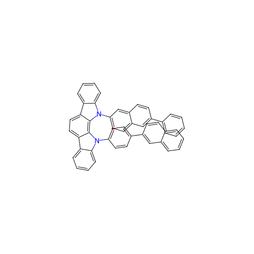 c1ccc(-c2ccc3cc(-n4c5ccccc5c5ccc6c7ccccc7n(-c7ccc(-c8ccc9ccccc9c8)cc7)c6c54)ccc3c2)cc1